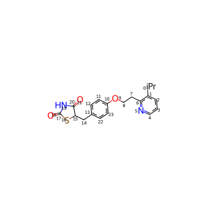 CC(C)c1cccnc1CCOc1ccc(CC2SC(=O)NC2=O)cc1